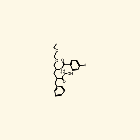 CCOCOCC(CC(Cc1ccccc1)C(=O)NO)NC(=O)c1ccc(I)cc1